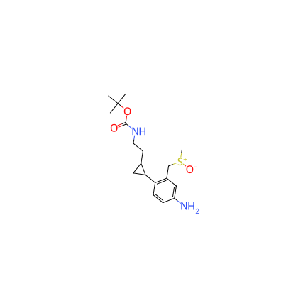 C[S+]([O-])Cc1cc(N)ccc1C1CC1CCNC(=O)OC(C)(C)C